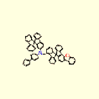 c1ccc(-c2ccc(N(Cc3cccc4c3-c3ccccc3C43c4ccccc4-c4c3ccc3c4oc4ccccc43)c3ccc4c(c3)C3(c5ccccc5-c5ccccc53)c3ccccc3-4)cc2)cc1